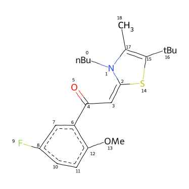 CCCCN1C(=CC(=O)c2cc(F)ccc2OC)SC(C(C)(C)C)=C1C